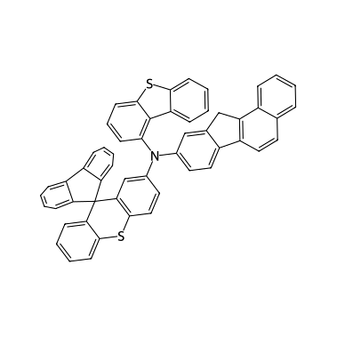 c1ccc2c(c1)Sc1ccc(N(c3ccc4c(c3)Cc3c-4ccc4ccccc34)c3cccc4sc5ccccc5c34)cc1C21c2ccccc2-c2ccccc21